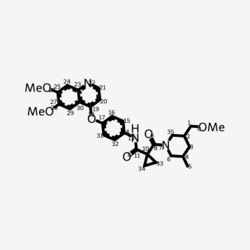 COCC1CC(C)CN(C(=O)C2(C(=O)Nc3ccc(Oc4ccnc5cc(OC)c(OC)cc45)cc3)CC2)C1